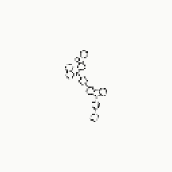 c1ccc(-c2ccc(-n3c4ccccc4c4cc(-c5ccc(N(c6ccc7c(c6)oc6ccccc67)c6cccc7ccccc67)cc5)ccc43)cc2)cc1